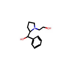 OCCN1CCCC1C(O)c1ccccc1